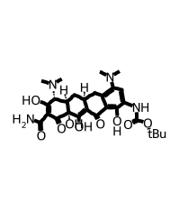 CN(C)c1cc(NC(=O)OC(C)(C)C)c(O)c2c1C[C@@H]1C[C@@H]3[C@@H](N(C)C)C(O)=C(C(N)=O)C(=O)[C@]3(O)C(O)=C1C2=O